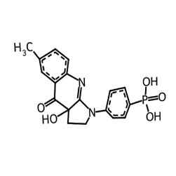 Cc1ccc2c(c1)C(=O)C1(O)CCN(c3ccc(P(=O)(O)O)cc3)C1=N2